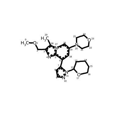 COCc1nc2c(-c3ccnn3C3CCCCO3)cc(N3CCOCC3)cn2c1C